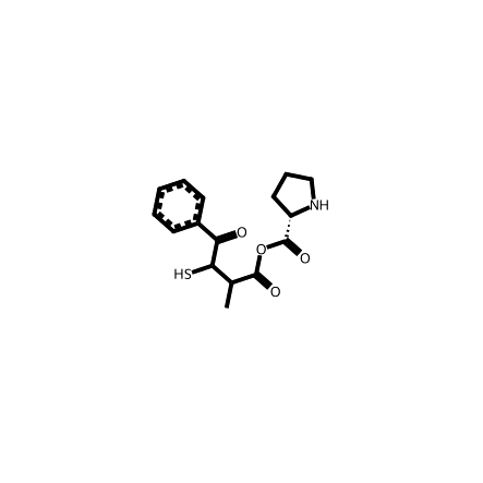 CC(C(=O)OC(=O)[C@@H]1CCCN1)C(S)C(=O)c1ccccc1